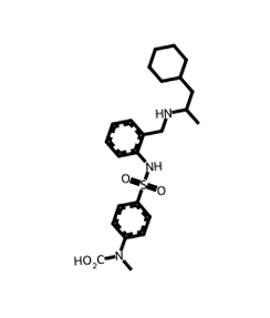 CC(CC1CCCCC1)NCc1ccccc1NS(=O)(=O)c1ccc(N(C)C(=O)O)cc1